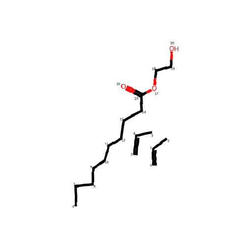 C=CC.C=CC.CCCCCCCCCC(=O)OCCO